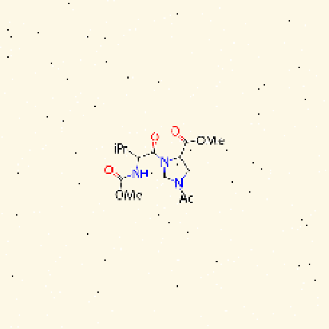 COC(=O)NC(C(=O)N1CN(C(C)=O)CC1C(=O)OC)C(C)C